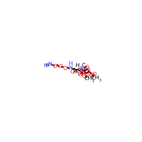 CC(=O)NC1(COCCCCC(O)NCCOCCOCCOCCN=[N+]=[N-])COC(COC(C)=O)C(OC(C)=O)C1OC(C)=O